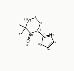 CC1(C)NCCN(c2nccs2)C1=O